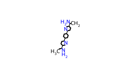 C=C(N)c1ccc(-c2ccc(-c3ccc(C(N)=CC)cn3)cc2)nc1